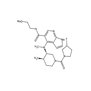 COCCOC(=O)c1cnc2[nH]ccc2c1N(C)[C@H]1CN(C(=O)N2CCC(F)C2)CC[C@H]1C